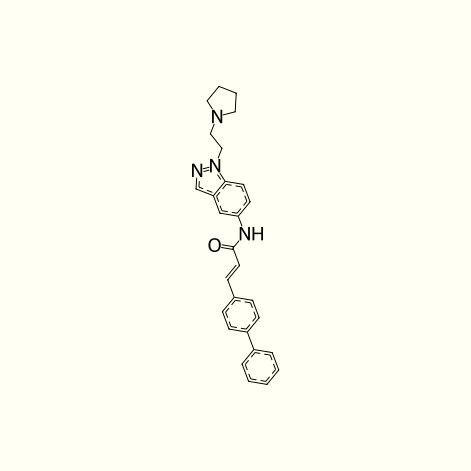 O=C(C=Cc1ccc(-c2ccccc2)cc1)Nc1ccc2c(cnn2CCN2CCCC2)c1